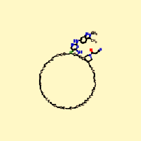 Cc1c2ccc(Nc3ncc(Cl)c(NC4CCCCCCCCCCCCCCCCCCCCCCCCCCCCCCCCCCCCCCCCCCCCCCCCC5(CC4)CCN(C(=O)CC#N)CC5)n3)cc2nn1C